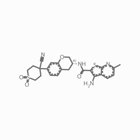 Cc1ccc2c(N)c(C(=O)N[C@H]3COc4cc(C5(C#N)CCS(=O)(=O)CC5)ccc4C3)sc2n1